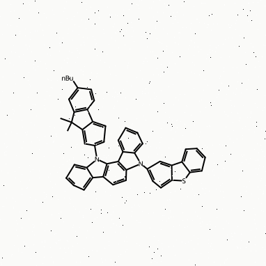 CCCCc1ccc2c(c1)C(C)(C)c1cc(-n3c4ccccc4c4ccc5c(c6ccccc6n5-c5ccc6sc7ccccc7c6c5)c43)ccc1-2